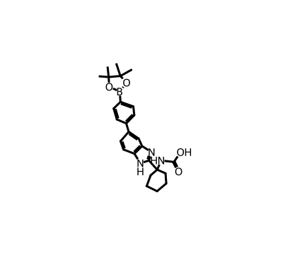 CC1(C)OB(c2ccc(-c3ccc4[nH]c(C5(NC(=O)O)CCCCC5)nc4c3)cc2)OC1(C)C